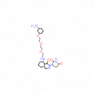 Nc1cccc(OCCOCCOCCNc2cccc3cnn(C4CCC(=O)NC4=O)c(=O)c23)c1